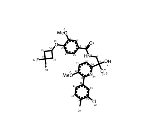 COc1cc(C(=O)NCC(O)(c2ccc(OC)c(-c3ccc(F)c(Cl)c3)n2)C(F)(F)F)ccc1OC1CC(F)(F)C1